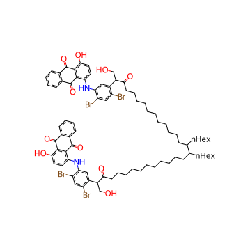 CCCCCCC(CCCCCCCCCCCC(=O)C(CO)c1cc(Nc2ccc(O)c3c2C(=O)c2ccccc2C3=O)c(Br)cc1Br)C(CCCCCC)CCCCCCCCCCCC(=O)C(CO)c1cc(Nc2ccc(O)c3c2C(=O)c2ccccc2C3=O)c(Br)cc1Br